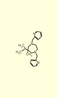 CN(C)C1(C)CN(Cc2ccccn2)CCN(Cc2ccccn2)C1